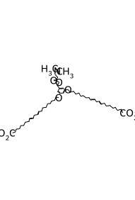 CN(C)CCC(=O)OCc1cc(OCCCCCCCCC=CCC=CCCCCCCCC(=O)O)cc(OCCCCCCCCC=CCC=CCCCCCCCC(=O)O)c1